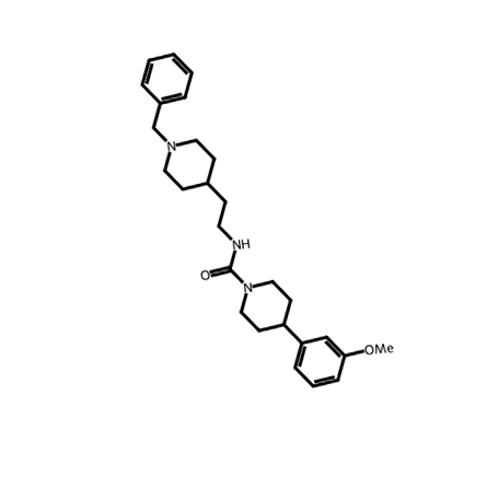 COc1cccc(C2CCN(C(=O)NCCC3CCN(Cc4ccccc4)CC3)CC2)c1